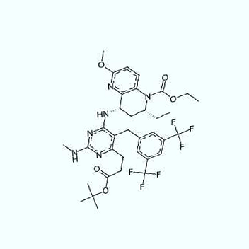 CCOC(=O)N1c2ccc(OC)nc2[C@@H](Nc2nc(NC)nc(CCC(=O)OC(C)(C)C)c2Cc2cc(C(F)(F)F)cc(C(F)(F)F)c2)C[C@H]1CC